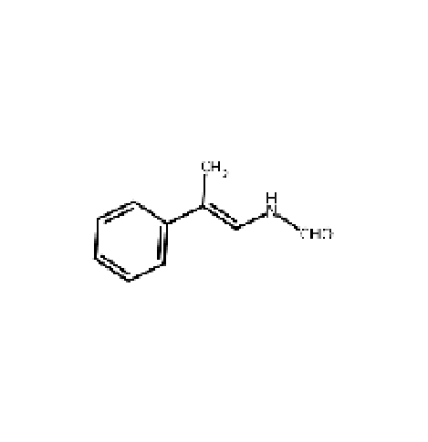 C/C(=C\NC=O)c1ccccc1